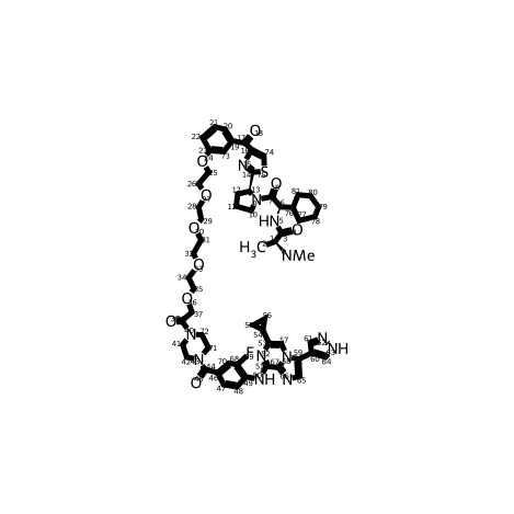 CN[C@@H](C)C(=O)N[C@H](C(=O)N1CCC[C@H]1c1nc(C(=O)c2cccc(OCCOCCOCCOCCOCC(=O)N3CCN(C(=O)c4ccc(Nc5nc(C6CC6)cn6c(-c7cn[nH]c7)cnc56)c(F)c4)CC3)c2)cs1)C1CCCCC1